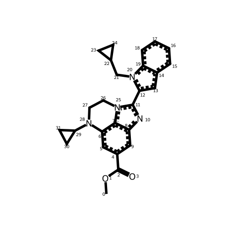 COC(=O)c1cc2c3c(c1)nc(-c1cc4ccccc4n1CC1CC1)n3CCN2C1CC1